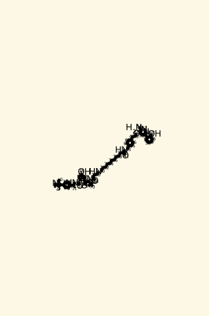 Cc1ncsc1-c1ccc([C@H](C)NC(=O)[C@@H]2C[C@@H](O)CN2C(=O)[C@@H](NC(=O)CCNCCCCCCCCCCC(=O)NCc2ccc(CCOc3cc(-c4ccccc4O)nnc3N)cc2)C(C)(C)C)cc1